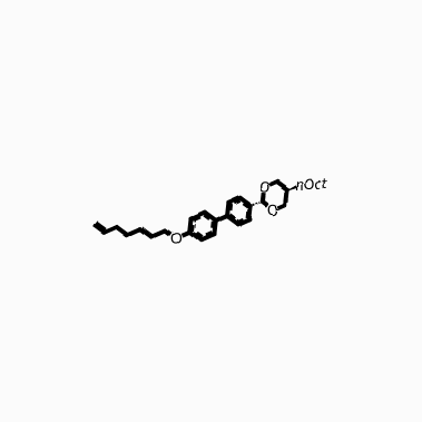 C=CCCCCCOc1ccc(-c2ccc([C@H]3OC[C@H](CCCCCCCC)CO3)cc2)cc1